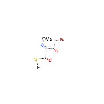 CCSC(=O)C(=NOC)C(=O)CBr